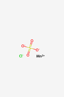 O=S(=O)([O-])[O-].[Cl-].[Mn+3]